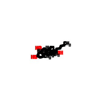 CCCCC[C@](C)(O)[C@H]1CC[C@H]2[C@@H]3C[C@H](O)[C@H]4C[C@@H](O)CC[C@]4(C)[C@H]3CC[C@@]21C